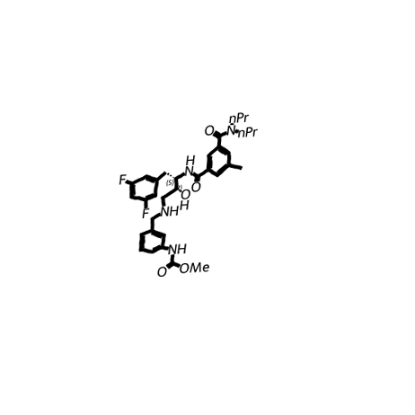 CCCN(CCC)C(=O)c1cc(C)cc(C(=O)N[C@@H](Cc2cc(F)cc(F)c2)[C@H](O)CNCc2cccc(NC(=O)OC)c2)c1